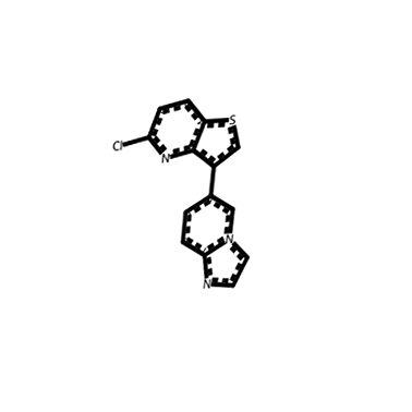 Clc1ccc2scc(-c3ccc4nccn4c3)c2n1